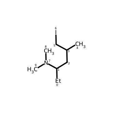 CCC(CC(C)CI)N(C)C